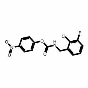 O=C(NCc1cccc(F)c1Cl)Oc1ccc([N+](=O)[O-])cc1